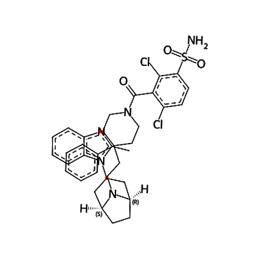 Cc1nc2ccccc2n1C1C[C@H]2CC[C@@H](C1)N2CCC1(c2ccccc2)CCN(C(=O)c2c(Cl)ccc(S(N)(=O)=O)c2Cl)CC1